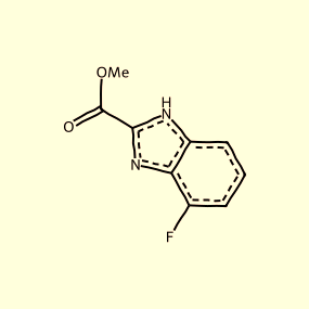 COC(=O)c1nc2c(F)cccc2[nH]1